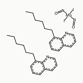 CCCCCCc1cccc2cccnc12.CCCCCCc1cccc2cccnc12.O=[N][Mo]([I])([I])[N]=O